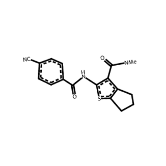 CNC(=O)c1c(NC(=O)c2ccc(C#N)cc2)sc2c1CCC2